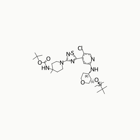 CC1(NC(=O)OC(C)(C)C)CCN(c2nsc(-c3cc(N[C@@H]4CCOC[C@H]4O[Si](C)(C)C(C)(C)C)ncc3Cl)n2)CC1